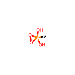 O[P]1(O)([V])OO1